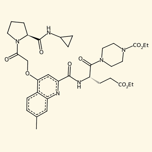 CCOC(=O)CC[C@H](NC(=O)c1cc(OCC(=O)N2CCC[C@H]2C(=O)NC2CC2)c2ccc(C)cc2n1)C(=O)N1CCN(C(=O)OCC)CC1